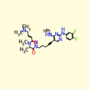 CCCNc1nc(Nc2ccc(F)c(F)c2)ncc1C#CCCCNC(=O)[C@H](C)N(C)C(=O)/C=C/CN(C)C